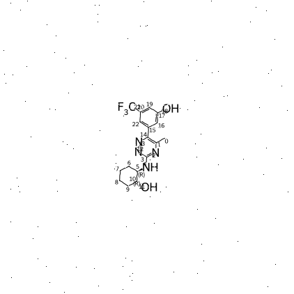 Cc1nc(N[C@@H]2CCCC[C@H]2O)nnc1-c1cc(O)cc(C(F)(F)F)c1